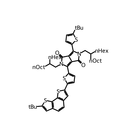 CCCCCCCCC(CCCCCC)CN1C(=O)C2=C(c3ccc(C(C)(C)C)s3)N(CC(CCCCCC)CCCCCCCC)C(=O)C2=C1c1ccc(-c2cc3ccc4cc(C(C)(C)C)sc4c3s2)s1